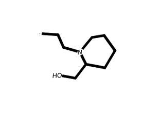 [CH2]CCN1CCCCC1CO